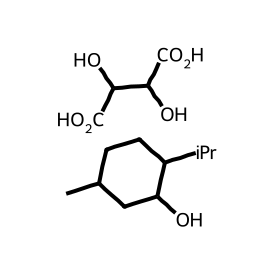 CC1CCC(C(C)C)C(O)C1.O=C(O)C(O)C(O)C(=O)O